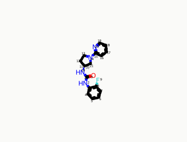 O=C(Nc1ccccc1F)N[C@H]1CCN(c2cc[c]cn2)C1